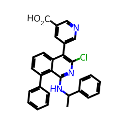 CC(Nc1nc(Cl)c(-c2cncc(C(=O)O)c2)c2cccc(-c3ccccc3)c12)c1ccccc1